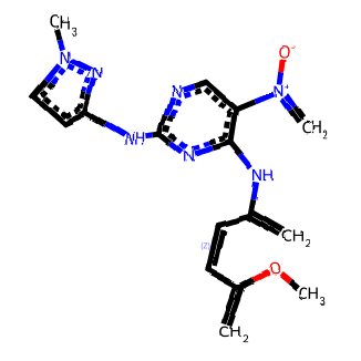 C=C(/C=C\C(=C)OC)Nc1nc(Nc2ccn(C)n2)ncc1[N+](=C)[O-]